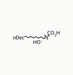 CCCCCCCCCCCCCCCCCC[N+](C)(C)CC(=O)O.[OH-]